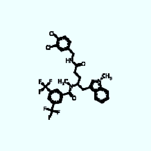 CN(C(=O)c1cc(C(F)(F)F)cc(C(F)(F)F)c1)C(CCC(=O)NCc1ccc(Cl)c(Cl)c1)Cc1cn(C)c2ccccc12